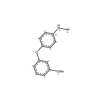 COc1cccc(Oc2ccc(NC(C)C)cc2)c1